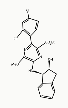 CCOC(=O)c1nc(N[C@@H]2c3ccccc3C[C@@H]2O)c(OC)nc1-c1ccc(Cl)cc1Cl